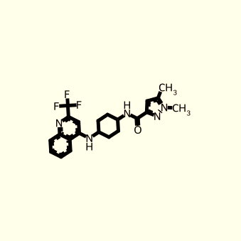 Cc1cc(C(=O)NC2CCC(Nc3cc(C(F)(F)F)nc4ccccc34)CC2)nn1C